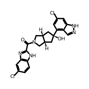 O=C(c1nc2cc(Cl)ccc2[nH]1)N1C[C@@H]2C[C@](O)(c3cc(Cl)cc4[nH]ncc34)C[C@@H]2C1